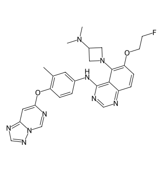 Cc1cc(Nc2ncnc3ccc(OCCF)c(N4CC(N(C)C)C4)c23)ccc1Oc1cc2ncnn2cn1